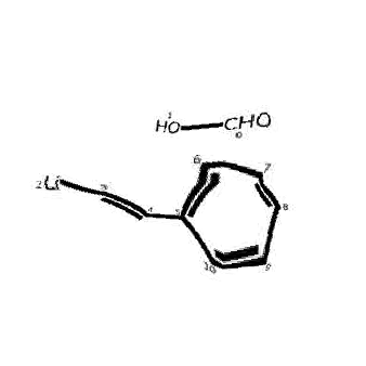 O=CO.[Li][CH]=Cc1ccccc1